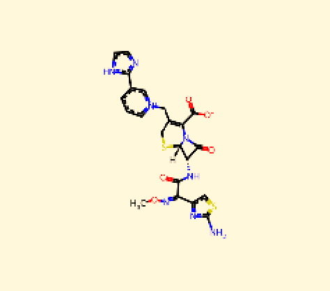 CO/N=C(\C(=O)N[C@H]1C(=O)N2C(C(=O)[O-])=C(C[n+]3cccc(-c4ncc[nH]4)c3)CS[C@@H]12)c1csc(N)n1